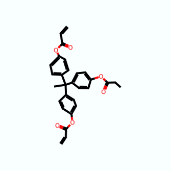 C=CC(=O)Oc1ccc(C(C)(c2ccc(OC(=O)C=C)cc2)c2ccc(OC(=O)CC)cc2)cc1